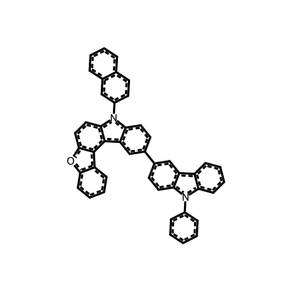 c1ccc(-n2c3ccccc3c3cc(-c4ccc5c(c4)c4c6c(ccc4n5-c4ccc5ccccc5c4)oc4ccccc46)ccc32)cc1